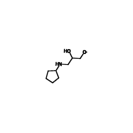 [O]CC(O)CNC1CCCC1